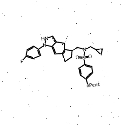 CCCCCc1ccc(S(=O)(=O)N(CC2CC2)C[C@H]2CCC3=C2[C@@H](C)C2=CNN(c4ccc(F)cc4)C2=C3)cc1